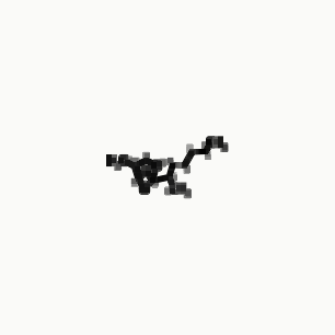 CCCCCC(C)C12OCC(C)=C(O1)O2